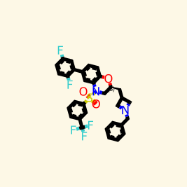 O=S(=O)(c1cccc(C(F)(F)F)c1)N1C[C@H](CC2CN(Cc3ccccc3)C2)Oc2ccc(-c3cc(F)ccc3F)cc21